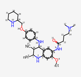 CCCC1Nc2cc(OCC)c(NC(=O)CCCN(C)C)cc2C(Nc2ccc(OCC3CCCCN3)cc2)C1C#N